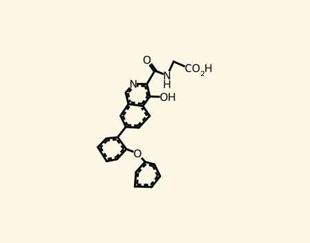 O=C(O)CNC(=O)c1ncc2cc(-c3ccccc3Oc3ccccc3)ccc2c1O